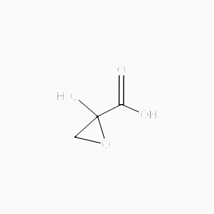 CC1(C(=O)O)CO1